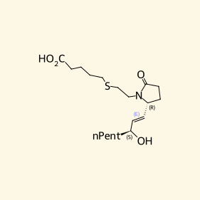 CCCCC[C@H](O)/C=C/[C@H]1CCC(=O)N1CCSCCCCC(=O)O